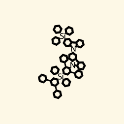 c1ccc(-c2cc(-c3ccccc3)cc([Si](c3ccccc3)(c3ccccc3)c3cc(-c4ccccc4)c(-n4c5ccccc5c5cc(-n6c7ccccc7c7cc([Si](c8ccccc8)(c8ccccc8)c8ccccc8)ccc76)ccc54)c(-c4ccccc4)c3)c2)cc1